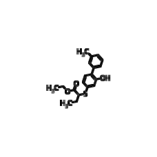 CCOC(=O)C(CC)Sc1ccc(-c2cccc(C)c2)c(O)c1